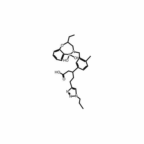 CCCn1cc(CCC(CC(=O)O)c2ccc(C)c(CN3CC(CC)Oc4ccccc4S3(O)O)c2)nn1